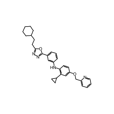 c1ccc(COc2ccc(Nc3cccc(-c4nnc(CCC5CCCCC5)o4)c3)c(C3CC3)c2)nc1